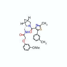 COc1cccc(OCC(=O)NC[C@@H]2[C@@H]3C[C@@H]3CN2C(=O)c2nc(C)sc2-c2cccc(C)c2)c1